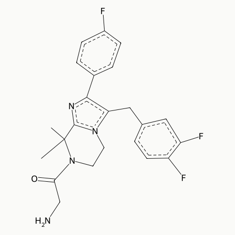 CC1(C)c2nc(-c3ccc(F)cc3)c(Cc3ccc(F)c(F)c3)n2CCN1C(=O)CN